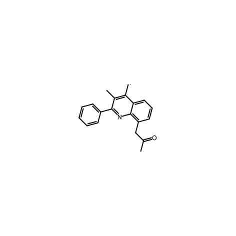 [CH2]c1c(C)c(-c2ccccc2)nc2c(CC(C)=O)cccc12